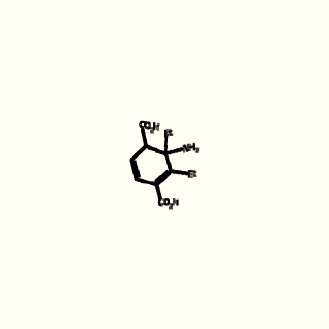 CCC1=C(C(=O)O)C=CC(C(=O)O)C1(N)CC